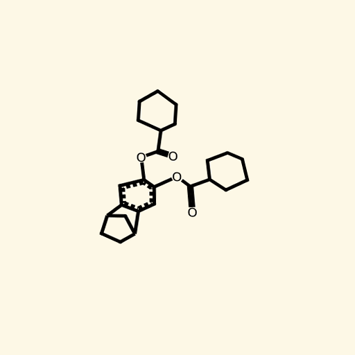 O=C(Oc1cc2c(cc1OC(=O)C1CCCCC1)C1CCC2C1)C1CCCCC1